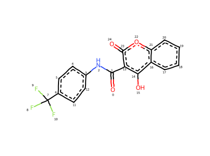 O=C(Nc1ccc(C(F)(F)F)cc1)c1c(O)c2ccccc2oc1=O